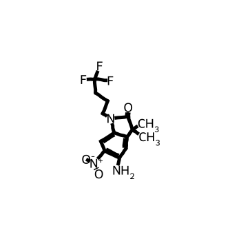 CC1(C)C(=O)N(CCCC(F)(F)F)c2cc([N+](=O)[O-])c(N)cc21